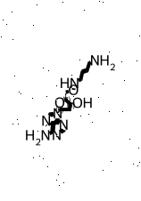 NCC=CCNOC[C@H]1O[C@@H](n2cnc3c(N)ncnc32)C[C@@H]1O